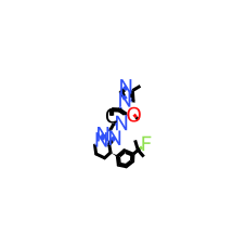 COc1nc(-c2nc3n(n2)CCC[C@H]3c2cccc(C(C)(C)F)c2)ccc1-n1cnc(C)c1